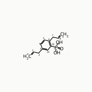 C=CCc1ccc(CC=C)c(P(=O)(O)O)c1